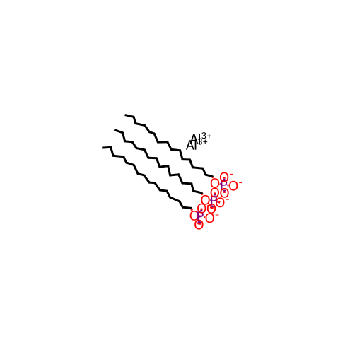 CCCCCCCCCCCCCCCCOP(=O)([O-])[O-].CCCCCCCCCCCCCCCCOP(=O)([O-])[O-].CCCCCCCCCCCCCCCCOP(=O)([O-])[O-].[Al+3].[Al+3]